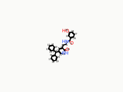 O=C(NCCc1cc(C(c2ccccc2)c2ccccc2)c[nH]c1=O)c1cccc(O)c1